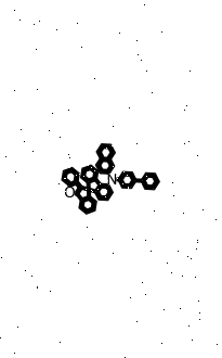 c1ccc(-c2ccc(N(c3ccc4ccccc4c3)c3cccc4c3-c3ccccc3C43c4ccccc4-c4oc5ccccc5c43)cc2)cc1